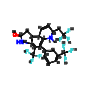 CN1c2c(c3c(c(C(F)(F)F)c2-c2cccc(C(F)(F)F)c2)NC(=O)C3)C=CC1CC(F)(F)F